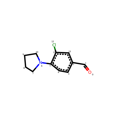 O=Cc1ccc(N2CCCC2)c(Cl)c1